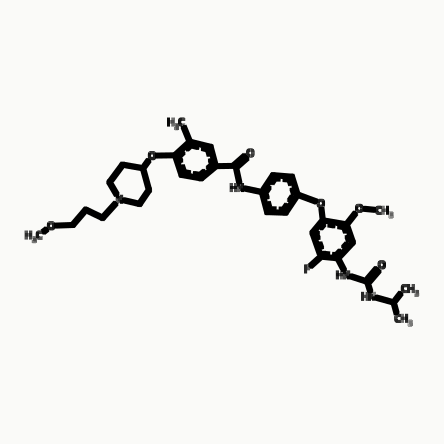 COCCCN1CCC(Oc2ccc(C(=O)Nc3ccc(Oc4cc(F)c(NC(=O)NC(C)C)cc4OC)cc3)cc2C)CC1